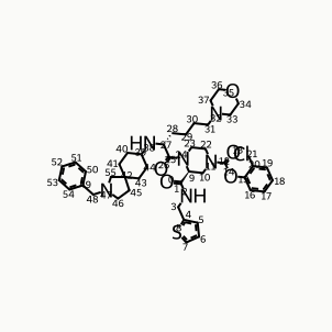 O=C(NCc1cccs1)[C@@H]1CN(C(=O)Oc2ccccc2Cl)CCN1C(=O)[C@@H](CCCCN1CCOCC1)NC1CCC2(CC1)CCN(Cc1ccccc1)C2